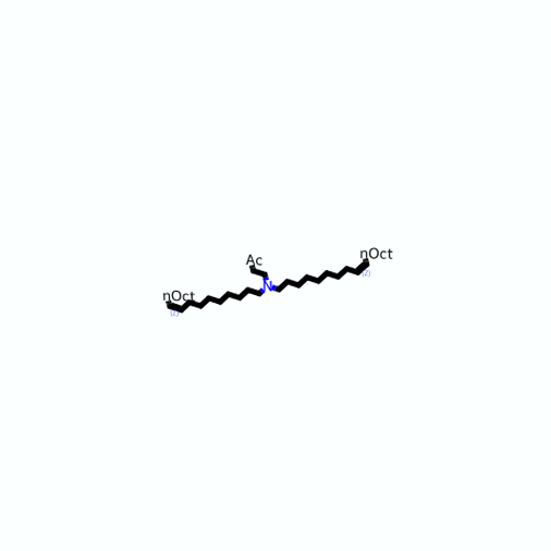 CCCCCCCC/C=C\CCCCCCCCN(CCCCCCCC/C=C\CCCCCCCC)CCC(C)=O